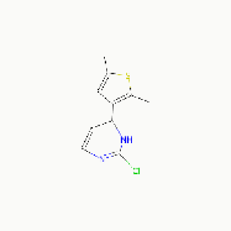 Cc1cc(C2C=CN=C(Cl)N2)c(C)s1